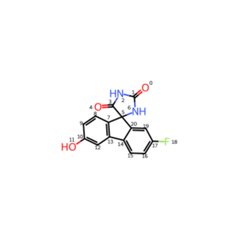 O=C1NC(=O)C2(N1)c1ccc(O)cc1-c1ccc(F)cc12